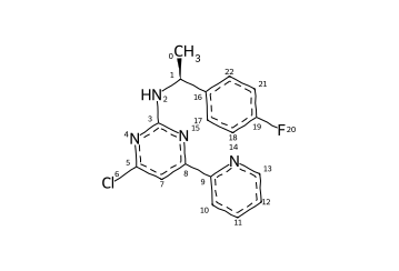 C[C@H](Nc1nc(Cl)cc(-c2ccccn2)n1)c1ccc(F)cc1